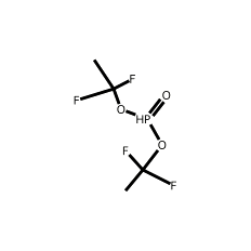 CC(F)(F)O[PH](=O)OC(C)(F)F